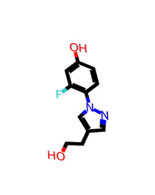 OCCc1cnn(-c2ccc(O)cc2F)c1